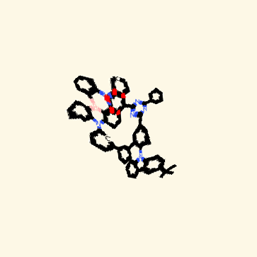 CC(C)(C)c1ccc2c(c1)c1ccccc1n2-c1ccc(-c2nc(-c3ccccc3)nc(-c3ccccc3)n2)cc1-c1cccc(-c2cccc(N3c4ccccc4B4c5ccccc5N(c5ccccc5)c5cccc3c54)c2)c1